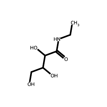 CCNC(=O)C(O)C(O)CO